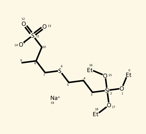 CCO[Si](CCCSCC(C)CS(=O)(=O)[O-])(OCC)OCC.[Na+]